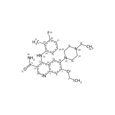 CCOc1cc2ncc(C(N)=O)c(Nc3cccc(F)c3C)c2cc1N1CCN(CC)CC1